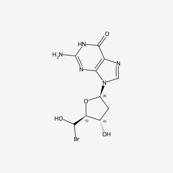 Nc1nc2c(ncn2[C@H]2C[C@H](O)[C@@H](C(O)Br)O2)c(=O)[nH]1